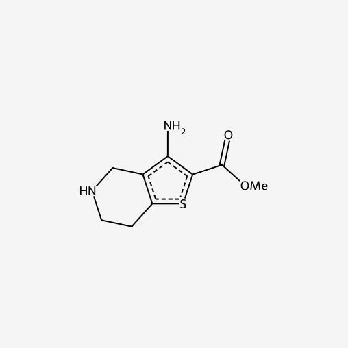 COC(=O)c1sc2c(c1N)CNCC2